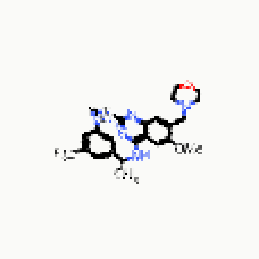 COc1cc2c(N[C@H](C)c3cc(N)cc(C(F)(F)F)c3)nc(C)nc2cc1CN1CCOCC1